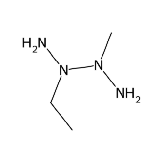 CCN(N)N(C)N